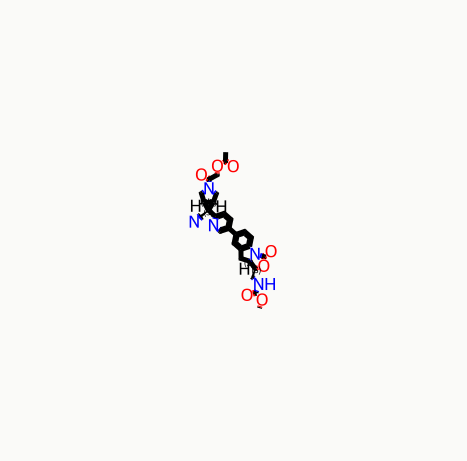 COC(=O)NC[C@@H]1OC(=O)N2c3ccc(-c4ccc([C@@]5(C#N)[C@@H]6CN(C(=O)COC(C)=O)C[C@@H]65)nc4)cc3C[C@@H]12